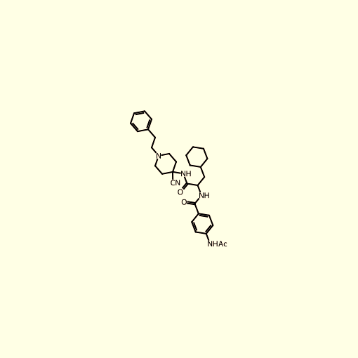 CC(=O)Nc1ccc(C(=O)NC(CC2CCCCC2)C(=O)NC2(C#N)CCN(CCc3ccccc3)CC2)cc1